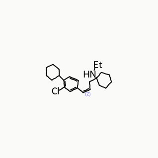 CCNC1(C/C=C\c2ccc(C3CCCCC3)c(Cl)c2)CCCCC1